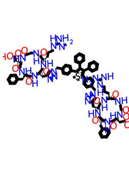 CN=C(N)NCCC[C@@H]1NC(=O)[C@H](Cc2cn(Cc3ccc(C4=C(c5ccccc5)C(c5ccccc5)=C(c5ccc(Cn6cc(C[C@@H]7NC(=O)[C@@H](Cc8ccccc8)NC(=O)[C@H](CC(=O)O)NC(=O)CNC(=O)[C@H](CCCNC(=N)N)NC7=O)nn6)cc5)[Si]4(C)C)cc3)nn2)NC(=O)[C@@H](Cc2ccccc2)NC(=O)[C@H](CC(=O)O)NC(=O)CNC1=O